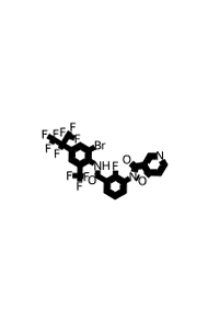 O=C(Nc1c(Br)cc(C(F)(C(F)(F)F)C(F)(F)F)cc1C(F)(F)F)c1cccc(-n2oc3ccncc3c2=O)c1F